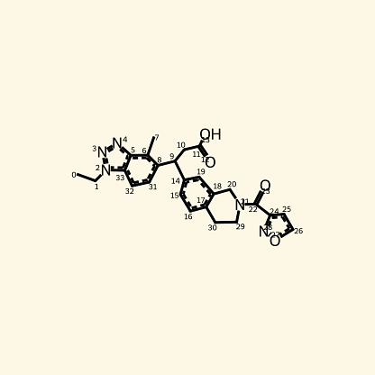 CCn1nnc2c(C)c(C(CC(=O)O)c3ccc4c(c3)CN(C(=O)c3ccon3)CC4)ccc21